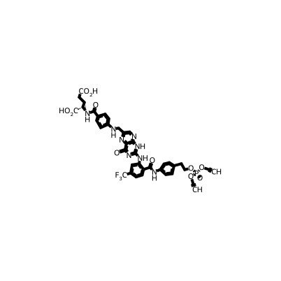 C#COP(=O)(OC#C)OCCc1ccc(NC(=O)c2ccc(C(F)(F)F)cc2Nc2nc(=O)c3nc(CNc4ccc(C(=O)N[C@@H](CCC(=O)O)C(=O)O)cc4)cnc3[nH]2)cc1